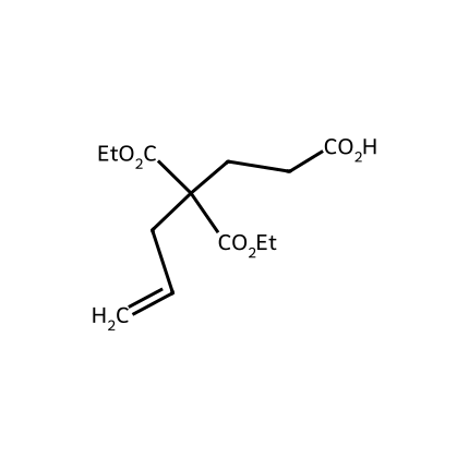 C=CCC(CCC(=O)O)(C(=O)OCC)C(=O)OCC